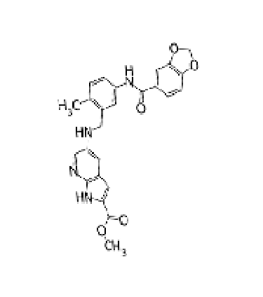 COC(=O)c1cc2cc(NCc3cc(NC(=O)c4ccc5c(c4)OCO5)ccc3C)cnc2[nH]1